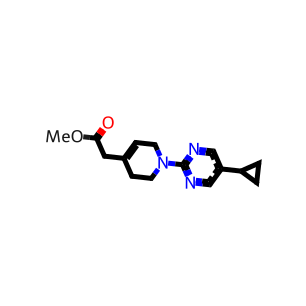 COC(=O)CC1=CCN(c2ncc(C3CC3)cn2)CC1